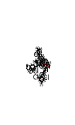 COc1ccc(CN(C(=O)C2=C(c3cnc(OCCOc4c(Cl)cc(C)cc4Cl)s3)CC3CN(C(=O)OC(C)(C)C)C[C@H]2N3C(=O)OC(C)(C)C)C2CC2)c(Cl)c1OC